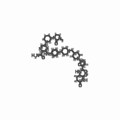 CN1CCN([C@@H]2CCCN(c3cnc(C(N)=O)c(Nc4ccc(C5CCN(CC6CCN(c7ncc(C(=O)NC8CCC(=O)NC8=O)o7)CC6)CC5)cc4)n3)C2)C1=O